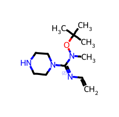 C=C/N=C(/N1CCNCC1)N(C)OC(C)(C)C